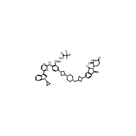 COc1cc(N2CC(N3CCN(CC4CN(c5ccc6c(c5)C(=O)N(C5CCC(=O)NC5=O)C6=O)C4)CC3)C2)ccc1Nc1nccc(-c2cn(C3CC3)c3ccccc23)n1.O=C(O)C(F)(F)F